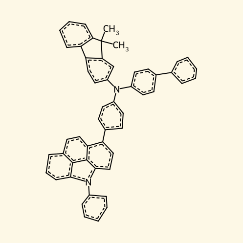 CC1(C)c2ccccc2-c2ccc(N(c3ccc(-c4ccccc4)cc3)c3ccc(-c4ccc5c6c4ccc4cccc(c46)n5-c4ccccc4)cc3)cc21